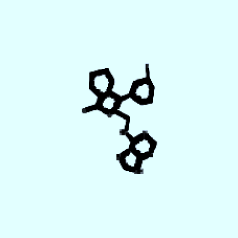 O=c1oc(CNc2ncnc3[nH]cnc23)c(-c2cccc(F)c2)c2ccccc12